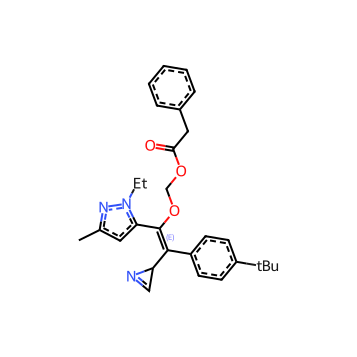 CCn1nc(C)cc1/C(OCOC(=O)Cc1ccccc1)=C(/c1ccc(C(C)(C)C)cc1)C1C=N1